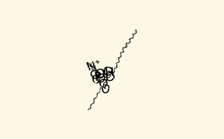 CCCCCCCCCCCCCCCCCCC(=O)OC(COC(=O)CCCCCCCCC)COP(=O)(O)OCC[N+](C)(C)C